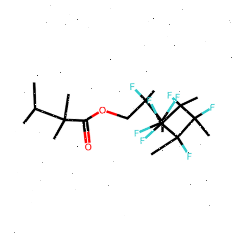 CC(C)C(C)(C)C(=O)OCC(C)(F)C(C)(F)C(C)(F)C(C)(F)C(C)(F)C(F)(F)F